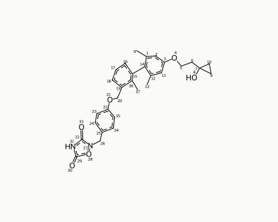 Cc1cc(OCCC2(O)CC2)cc(C)c1-c1cccc(COc2ccc(Cn3oc(=O)[nH]c3=O)cc2)c1C